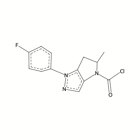 CC1Cc2c(cnn2-c2ccc(F)cc2)N1C(=O)Cl